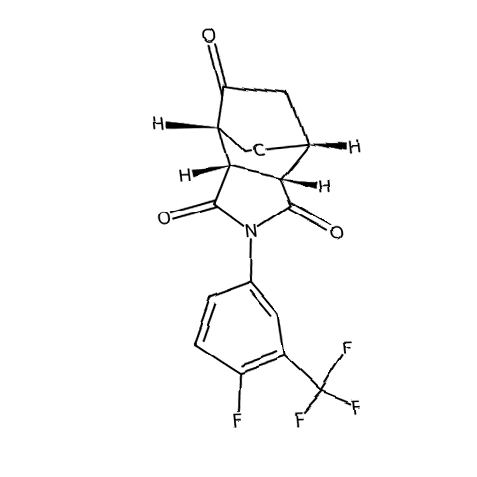 O=C1C[C@H]2CC[C@@H]1[C@H]1C(=O)N(c3ccc(F)c(C(F)(F)F)c3)C(=O)[C@@H]21